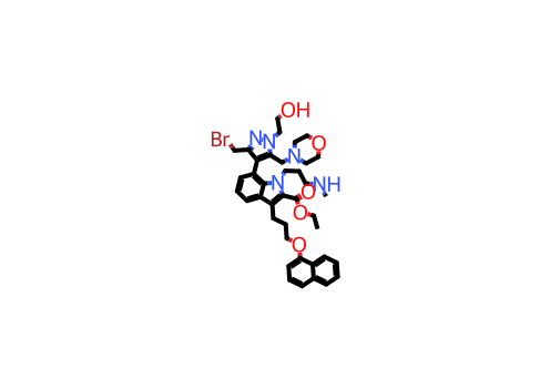 CCOC(=O)c1c(CCCOc2cccc3ccccc23)c2cccc(-c3c(CBr)nn(CCO)c3CN3CCOCC3)c2n1CCCNC